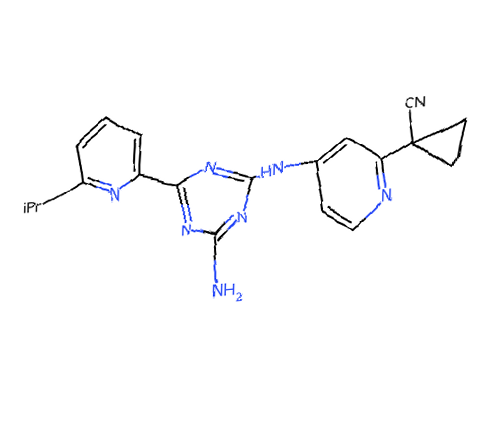 CC(C)c1cccc(-c2nc(N)nc(Nc3ccnc(C4(C#N)CC4)c3)n2)n1